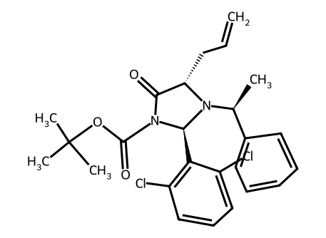 C=CC[C@H]1C(=O)N(C(=O)OC(C)(C)C)[C@H](c2c(Cl)cccc2Cl)N1[C@@H](C)c1ccccc1